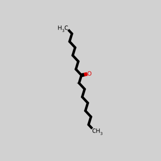 CCCCCCC[CH]C(=O)CCCCCCC